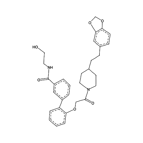 O=C(NCCO)c1cccc(-c2ccccc2OCC(=O)N2CCC(CCc3ccc4c(c3)OCO4)CC2)c1